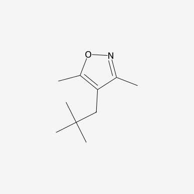 Cc1noc(C)c1CC(C)(C)C